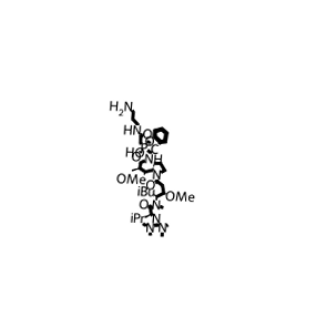 CC[C@H](C)[C@@H]([C@@H](CC(=O)N1CCC[C@H]1[C@H](OC)[C@@H](C)C(=O)N[C@@H](Cc1ccccc1)P(=O)(O)CC(=O)NCCCN)OC)N(C)C(=O)[C@@H](N=C(N(C)C)N(C)C)C(C)C